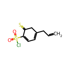 C=CCC1=CC=C(S(=O)(=O)Cl)C(=S)C1